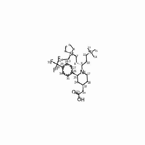 CC[Si](CC)(CC)CC[C@H](CC[Si](C)(C)C)N1CC[C@@H](CC(=O)O)C[C@H]1c1ccc(C(F)(F)F)cc1